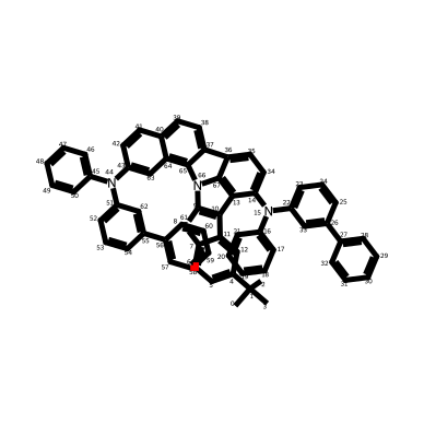 CC(C)(C)c1ccc2sc3c(c2c1)c1c(N(c2ccccc2)c2cccc(-c4ccccc4)c2)ccc2c4ccc5ccc(N(c6ccccc6)c6cccc(-c7ccccc7)c6)cc5c4n3c21